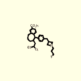 CCC(CC)CC1=C(c2ccc(CC3CN(CCCF)C3)cc2)c2ccc(C(=O)O)cc2CCC1